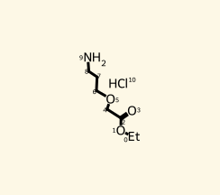 CCOC(=O)COCCCN.Cl